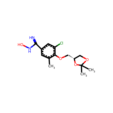 Cc1cc(C(=N)NO)cc(Cl)c1OC[C@@H]1COC(C)(C)O1